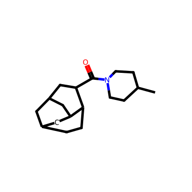 CC1CCN(C(=O)C2CC3CC4CCC2C(C4)C3)CC1